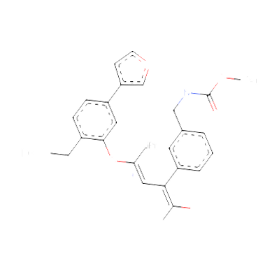 CCOC(=O)Cc1ccc(-c2ccoc2)cc1O/C(=C/C(=C(/O)CC)c1cccc(CNC(=O)OC(C)(C)C)c1)C(C)C